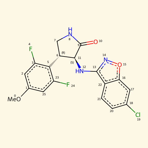 COc1cc(F)c([C@@H]2CNC(=O)[C@H]2Nc2noc3cc(Cl)ccc23)c(F)c1